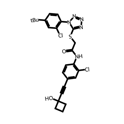 CC(C)(C)c1ccc(-n2nnnc2SCC(=O)Nc2ccc(C#CC3(O)CCC3)cc2Cl)c(Cl)c1